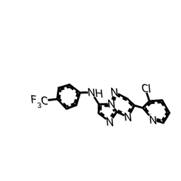 FC(F)(F)c1ccc(Nc2cnc3nc(-c4ncccc4Cl)cnn23)cc1